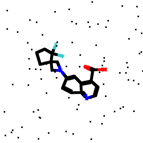 O=C(O)c1ccnc2ccc(N3CC4(CCCC4(F)F)C3)cc12